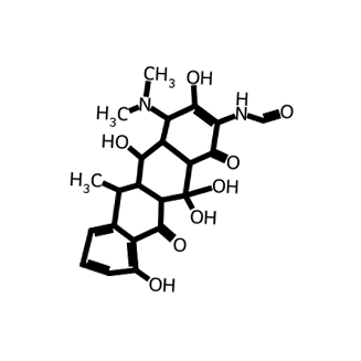 CC1c2cccc(O)c2C(=O)C2C1C(O)C1C(N(C)C)C(O)=C(NC=O)C(=O)C1C2(O)O